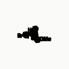 COc1cccc(S(=O)(=O)C(=CNc2ccc(Br)cn2)S(=O)(=O)c2ccccc2)c1